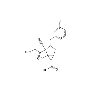 CCC12C(CC(Cc3cccc(Cl)c3)C1(C#N)C(=O)CN)C2C(=O)O